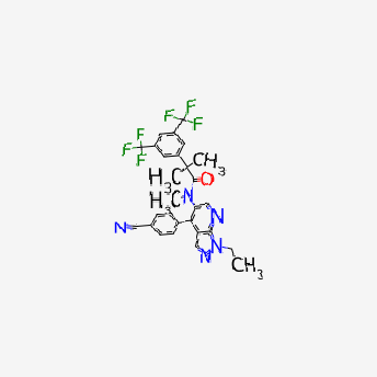 CCn1ncc2c(-c3ccc(C#N)cc3)c(N(C)C(=O)C(C)(C)c3cc(C(F)(F)F)cc(C(F)(F)F)c3)cnc21